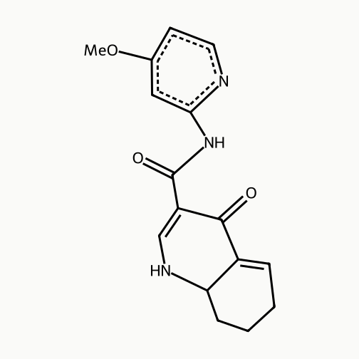 COc1ccnc(NC(=O)C2=CNC3CCCC=C3C2=O)c1